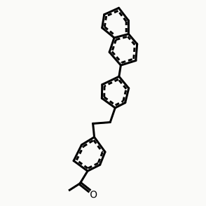 CC(=O)c1ccc(CCc2ccc(-c3ccc4ccccc4c3)cc2)cc1